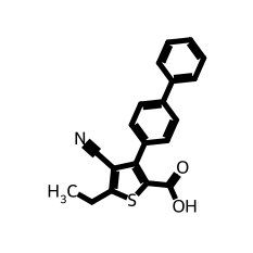 CCc1sc(C(=O)O)c(-c2ccc(-c3ccccc3)cc2)c1C#N